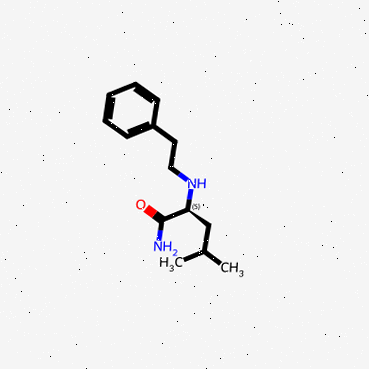 CC(C)C[C@H](NCCc1ccccc1)C(N)=O